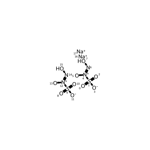 O=S(=O)([O-])/[N+]([O-])=N/O.O=S(=O)([O-])/[N+]([O-])=N/O.[Na+].[Na+]